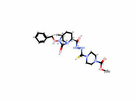 CC(C)(C)OC(=O)N1CCN(C(=S)NNC(=O)[C@@H]2CC[C@@H]3CN2C(=O)N3OCc2ccccc2)CC1